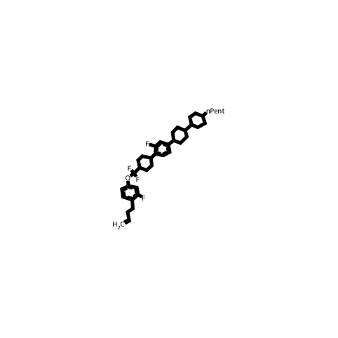 C=CCCc1ccc(OC(F)(F)C2CCC(c3ccc(C4CCC(C5CCC(CCCCC)CC5)CC4)cc3F)CC2)cc1F